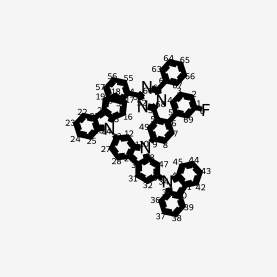 Fc1cccc(-c2ccc(-n3c4cc(-n5c6ccccc6c6ccccc65)ccc4c4ccc(-n5c6ccccc6c6ccccc65)cc43)cc2-c2nc(-c3ccccc3)nc(-c3ccccc3)n2)c1